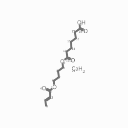 CC=CC(=O)OCCCCOC(=O)CCCCCC(=O)O.[CaH2]